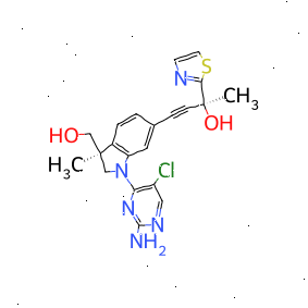 C[C@@]1(CO)CN(c2nc(N)ncc2Cl)c2cc(C#C[C@](C)(O)c3nccs3)ccc21